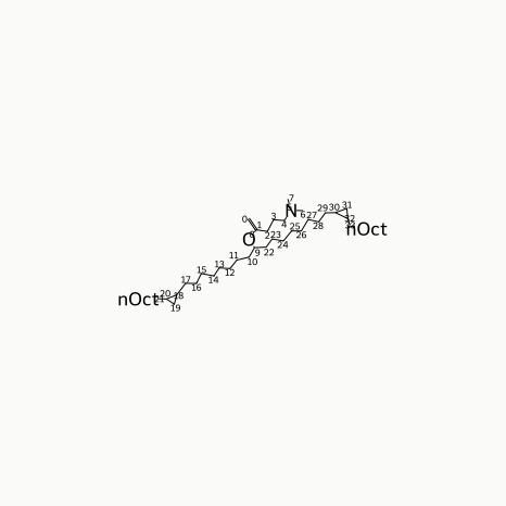 C=C(CCCN(C)C)OC(CCCCCCCCC1CC1CCCCCCCC)CCCCCCCCC1CC1CCCCCCCC